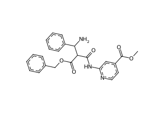 COC(=O)c1ccnc(NC(=O)C(C(=O)OCc2ccccc2)C(N)c2ccccc2)c1